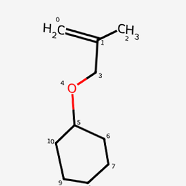 C=C(C)COC1CCCCC1